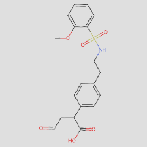 COc1ccccc1S(=O)(=O)NCCc1ccc(C(CC=O)C(=O)O)cc1